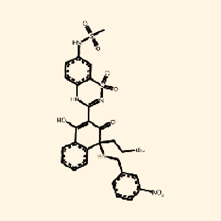 CC(C)(C)CCC1(NCc2cccc([N+](=O)[O-])c2)C(=O)C(C2=NS(=O)(=O)c3cc(NS(C)(=O)=O)ccc3N2)=C(O)c2ccccc21